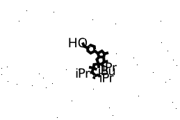 CCC(C)C(C(C)C)C(C)C(C(C)C)C(C)(C)CC1(C)CC2C(C3CCC(CO)CC3)CC(C)C2C(C)C1C(C)C